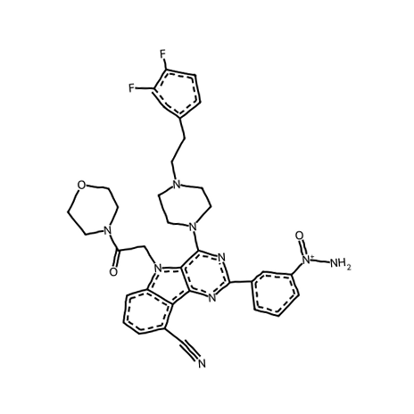 N#Cc1cccc2c1c1nc(-c3cccc([N+](N)=O)c3)nc(N3CCN(CCc4ccc(F)c(F)c4)CC3)c1n2CC(=O)N1CCOCC1